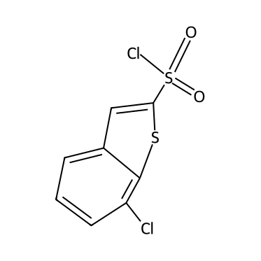 O=S(=O)(Cl)c1cc2cccc(Cl)c2s1